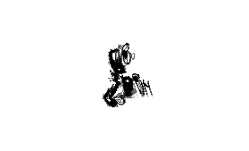 COC(=O)N1c2ccc3c(nc([C@@H](C)CN4CCCCC4=O)n3[C@@H]3CCC[C@@H](C(=O)O)C3)c2CC[C@@H]1C